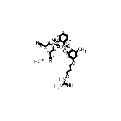 Cc1cc(OCCCONC(=N)N)cc(OS(=O)(=O)c2ccccc2S(=O)(=O)N(CCC#N)CCC#N)c1.Cl